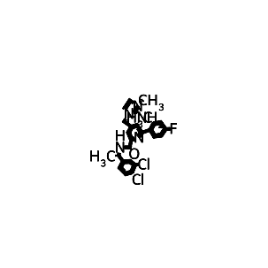 Cc1cc(F)ccc1-c1cc(CN2C=CN(C)C2N)cc(C(=O)N[C@H](C)c2ccc(Cl)c(Cl)c2)n1